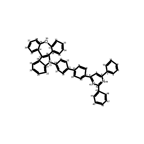 c1ccc(-c2cc(-c3ccc(-c4ccc(-n5c6c(c7ccccc75)-c5ccccc5Oc5ccccc5-6)cc4)cc3)nc(-c3ccccc3)n2)cc1